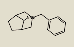 CNC1C2CCC1CN(Cc1ccccc1)C2